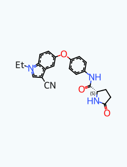 CCn1cc(C#N)c2cc(Oc3ccc(NC(=O)[C@@H]4CCC(=O)N4)cc3)ccc21